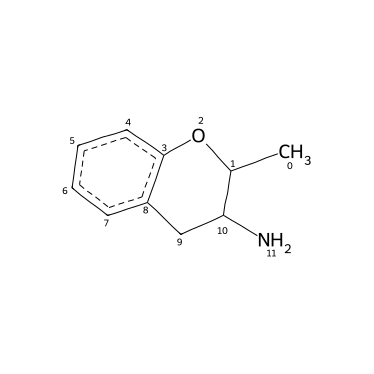 CC1Oc2ccccc2CC1N